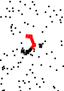 OO[SiH3].[Ti]